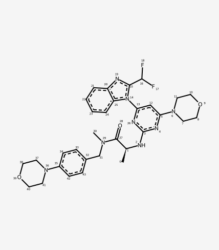 C[C@H](Nc1nc(N2CCOCC2)cc(-n2c(C(F)F)nc3ccccc32)n1)C(=O)N(C)Cc1ccc(N2CCOCC2)cc1